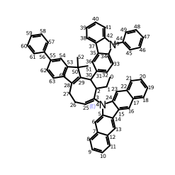 CCC1/C(n2c3cc4ccccc4cc3c3cc4ccccc4cc32)=C\CCC2=C(C1c1ccc3c(c1)c1ccccc1n3-c1ccccc1)C(C)(C)c1cc(-c3ccccc3)ccc12